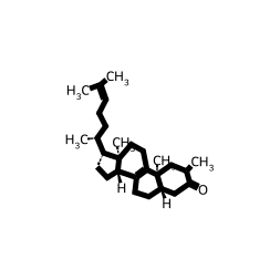 CC(C)=CCC[C@@H](C)[C@H]1CC[C@H]2C3=C(CC[C@]12C)[C@@]1(C)CC(C)C(=O)C[C@@H]1CC3